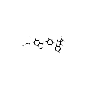 CCN(CC)CCOc1cc2ncnc(Oc3ccc(N(C(=O)C4(C(N)=O)[C@H](C)[C@H]4C)c4ccc(F)cc4)cc3F)c2cc1OC